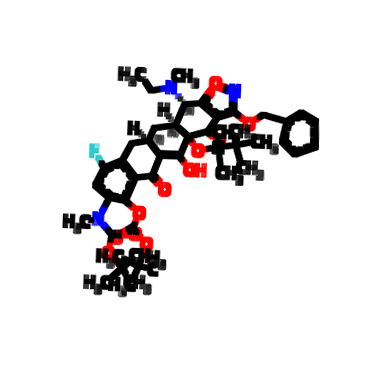 CCN(C)[C@@H]1c2onc(OCc3ccccc3)c2C(=O)C2(O[Si](C)(C)C(C)(C)C)C(O)=C3C(=O)c4c(c(F)cc(N(C)C(=O)OC(C)(C)C)c4OC(=O)OC(C)(C)C)C[C@H]3C[C@@H]12